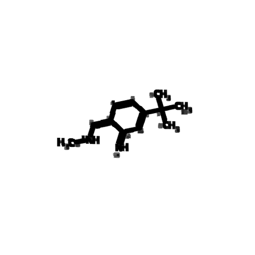 CN/C=C1/C=CC(C(C)(C)C)=CC1=N